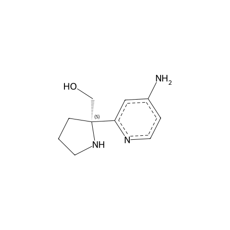 Nc1ccnc([C@]2(CO)CCCN2)c1